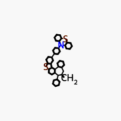 C=C1Cc2ccccc2-c2c(ccc3sc4ccc(-c5ccc(N6c7ccccc7Sc7ccccc76)cc5)cc4c23)C1c1ccccc1